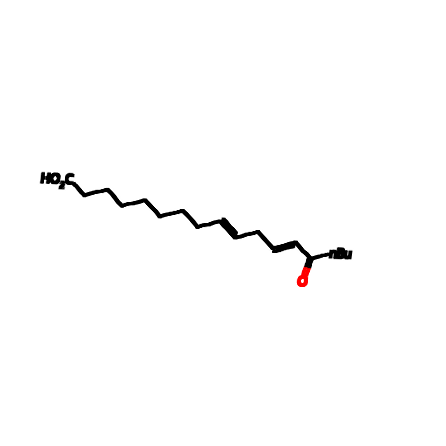 CCCCC(=O)C=CCC=CCCCCCCCC(=O)O